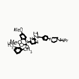 COc1ccc(N(C(=O)Oc2c(C)cccc2C)c2ccnc(Nc3ccc(N4CCN(C(C)C)CC4)cc3)n2)c(OC)c1